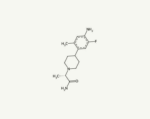 Cc1cc(N)c(F)cc1C1CCN([C@@H](C)C(N)=O)CC1